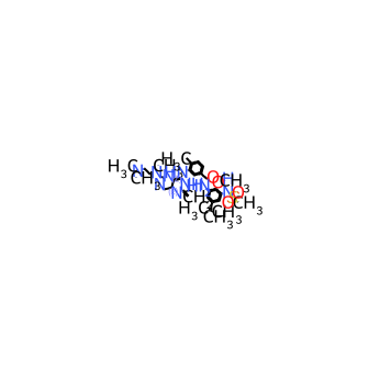 C=C/N=C1/C=NC(N(C)CCN(C)C)=N/C1=C(/N)Nc1cc(C(=O)Nc2cc(C(C)(C)C)cc(NS(C)(=O)=O)c2OC)ccc1C